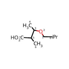 CC(C)COC(C)C(C)C(=O)O